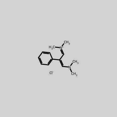 CN(C)C=C(C=[N+](C)C)c1ccccc1.[Cl-]